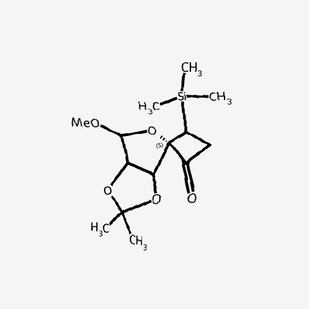 COC1O[C@]2(C(=O)CC2[Si](C)(C)C)C2OC(C)(C)OC12